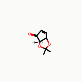 CC1(C)OC2C=CC(=O)[C@H]2O1